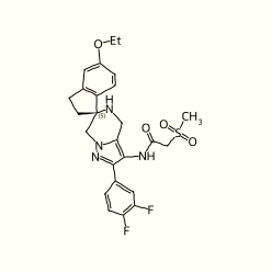 CCOc1ccc2c(c1)CC[C@@]21Cn2nc(-c3ccc(F)c(F)c3)c(NC(=O)CS(C)(=O)=O)c2CN1